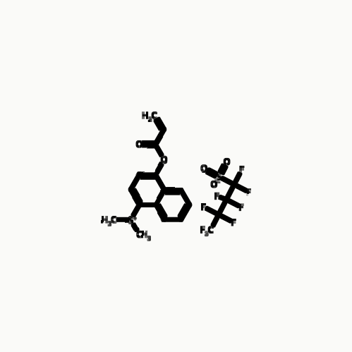 C=CC(=O)Oc1ccc([S+](C)C)c2ccccc12.O=S(=O)([O-])C(F)(F)C(F)(F)C(F)(F)C(F)(F)F